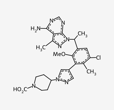 COc1c(C(C)n2nc(C)c3c(N)ncnc32)cc(Cl)c(C)c1-c1cnn(C2CCN(C(=O)O)CC2)c1